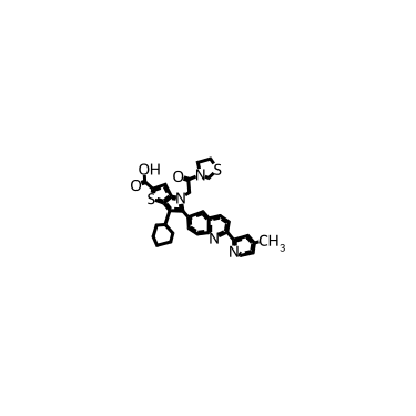 Cc1ccnc(-c2ccc3cc(-c4c(C5CCCCC5)c5sc(C(=O)O)cc5n4CC(=O)N4CCSC4)ccc3n2)c1